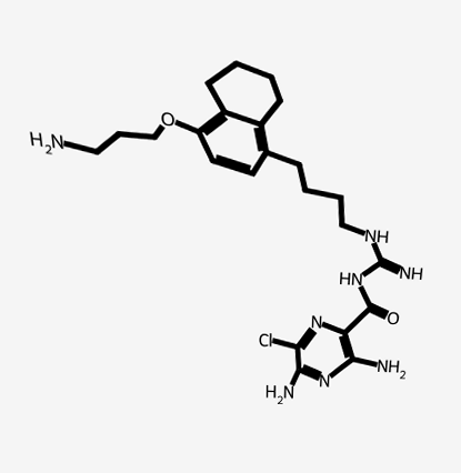 N=C(NCCCCc1ccc(OCCCN)c2c1CCCC2)NC(=O)c1nc(Cl)c(N)nc1N